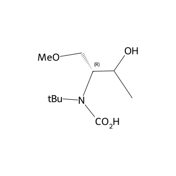 COC[C@H](C(C)O)N(C(=O)O)C(C)(C)C